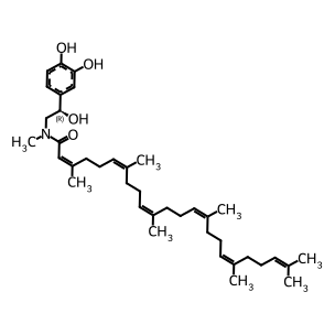 CC(C)=CCCC(C)=CCCC(C)=CCCC(C)=CCCC(C)=CCCC(C)=CC(=O)N(C)C[C@H](O)c1ccc(O)c(O)c1